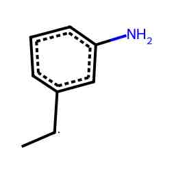 C[CH]c1cccc(N)c1